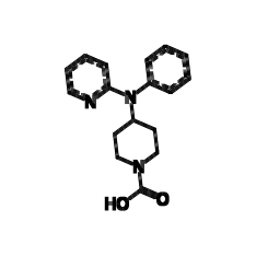 O=C(O)N1CCC(N(c2ccccc2)c2ccccn2)CC1